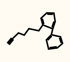 C#CCCCCc1ccccc1-c1ccccc1